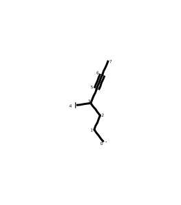 [CH2]CCC(I)C#CC